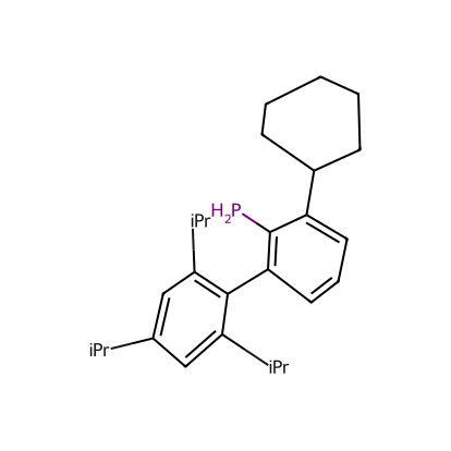 CC(C)c1cc(C(C)C)c(-c2cccc(C3CCCCC3)c2P)c(C(C)C)c1